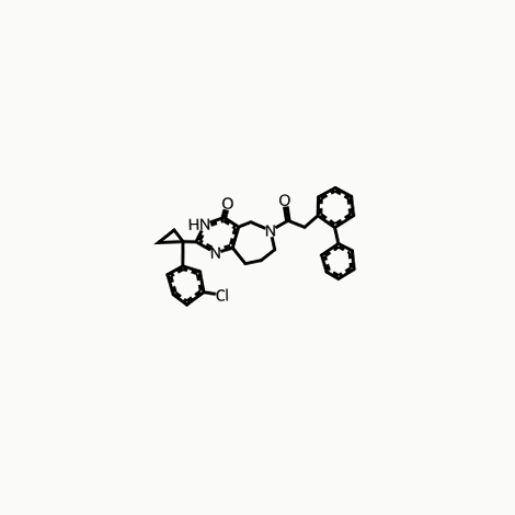 O=C(Cc1ccccc1-c1ccccc1)N1CCCc2nc(C3(c4cccc(Cl)c4)CC3)[nH]c(=O)c2C1